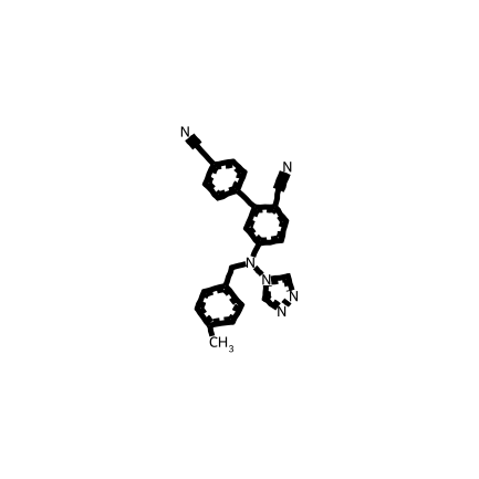 Cc1ccc(CN(c2ccc(C#N)c(-c3ccc(C#N)cc3)c2)n2cnnc2)cc1